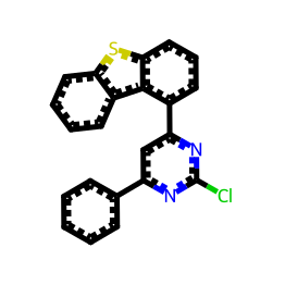 Clc1nc(-c2ccccc2)cc(-c2cccc3sc4ccccc4c23)n1